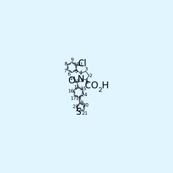 O=C(O)[C@@H]1CC[C@H](c2ccccc2Cl)N1C(=O)c1ccc(-c2ccsc2)cc1